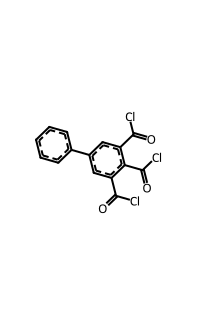 O=C(Cl)c1cc(-c2ccccc2)cc(C(=O)Cl)c1C(=O)Cl